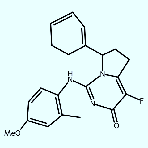 COc1ccc(Nc2nc(=O)c(F)c3n2C(C2=CC=CCC2)CC3)c(C)c1